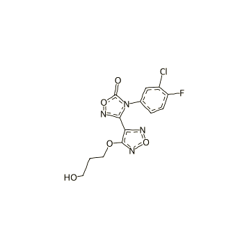 O=c1onc(-c2nonc2OCCCO)n1-c1ccc(F)c(Cl)c1